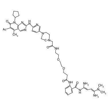 CC(=O)c1c(C)c2cnc(Nc3ccc(N4CCN(CC(=O)NCCOCCOCCC(=O)Nc5ccccc5C(=O)N/C(N)=C/C=C(\N)N(C)C)CC4)cn3)nc2n(C2CCCC2)c1=O